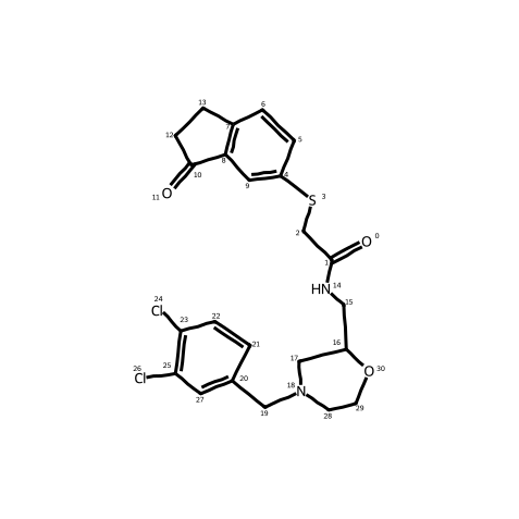 O=C(CSc1ccc2c(c1)C(=O)CC2)NCC1CN(Cc2ccc(Cl)c(Cl)c2)CCO1